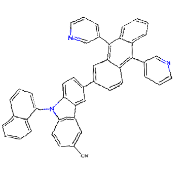 N#Cc1ccc2c(c1)c1cc(-c3ccc4c(-c5cccnc5)c5ccccc5c(-c5cccnc5)c4c3)ccc1n2-c1cccc2ccccc12